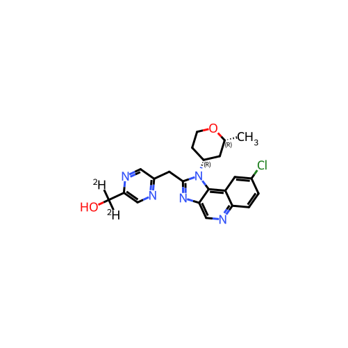 [2H]C([2H])(O)c1cnc(Cc2nc3cnc4ccc(Cl)cc4c3n2[C@@H]2CCO[C@H](C)C2)cn1